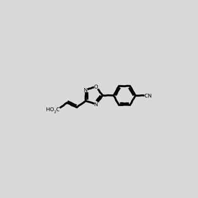 N#Cc1ccc(-c2nc(C=CC(=O)O)no2)cc1